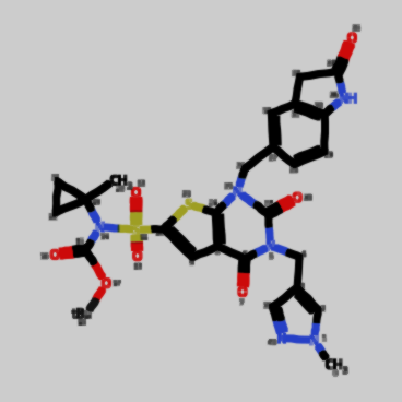 Cn1cc(Cn2c(=O)c3cc(S(=O)(=O)N(C(=O)OC(C)(C)C)C4(C)CC4)sc3n(Cc3ccc4c(c3)CC(=O)N4)c2=O)cn1